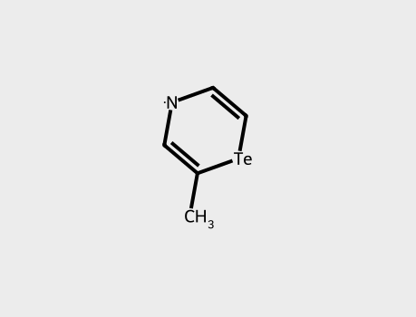 CC1=C[N]C=C[Te]1